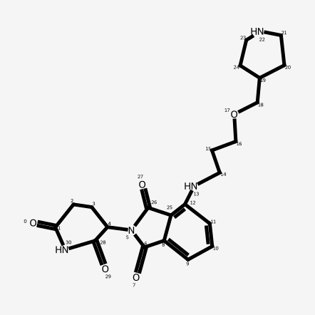 O=C1CCC(N2C(=O)c3cccc(NCCCOCC4CCNCC4)c3C2=O)C(=O)N1